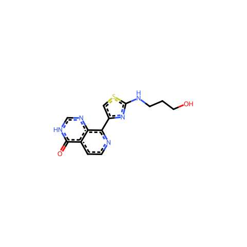 O=c1[nH]cnc2c(-c3csc(NCCCO)n3)nccc12